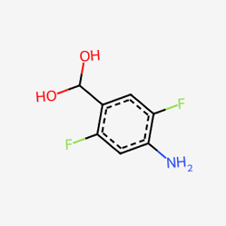 Nc1cc(F)c(C(O)O)cc1F